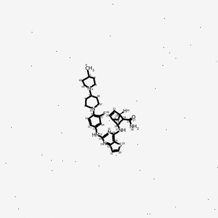 CC1CCN(C2CCN(c3ccc(Nc4nc(NC5C6C=C[C@@H](C6)C5C(N)=O)c5sccc5n4)cc3F)CC2)CC1